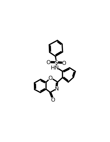 O=c1nc(-c2ccccc2NS(=O)(=O)c2ccccc2)oc2ccccc12